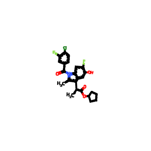 Cc1c(C(C)C(=O)OC2CCCC2)c2cc(O)c(F)cc2n1C(=O)c1ccc(Cl)c(F)c1